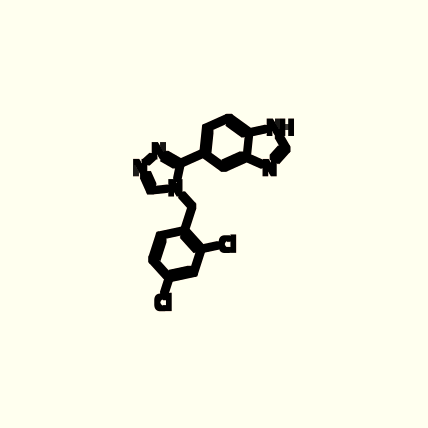 Clc1ccc(Cn2cnnc2-c2ccc3[nH]cnc3c2)c(Cl)c1